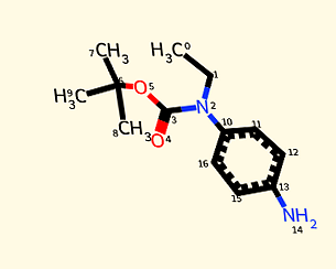 CCN(C(=O)OC(C)(C)C)c1ccc(N)cc1